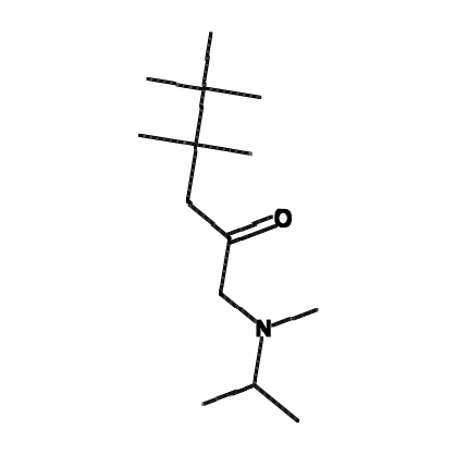 CC(C)N(C)CC(=O)CC(C)(C)C(C)(C)C